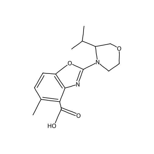 Cc1ccc2oc(N3CCOCC3C(C)C)nc2c1C(=O)O